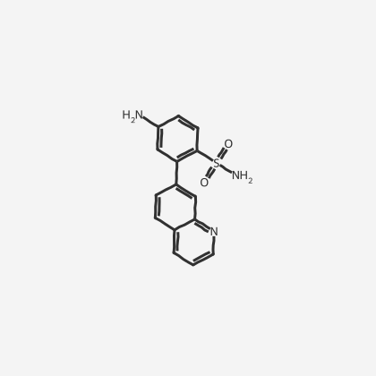 Nc1ccc(S(N)(=O)=O)c(-c2ccc3cccnc3c2)c1